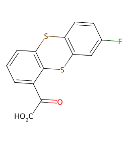 O=C(O)C(=O)c1cccc2c1Sc1cc(F)ccc1S2